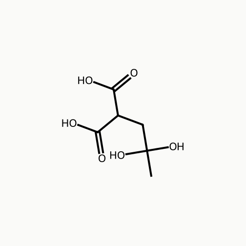 CC(O)(O)CC(C(=O)O)C(=O)O